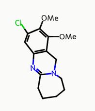 COc1c(Cl)cc2c(c1OC)CN1CCCCCC1=N2